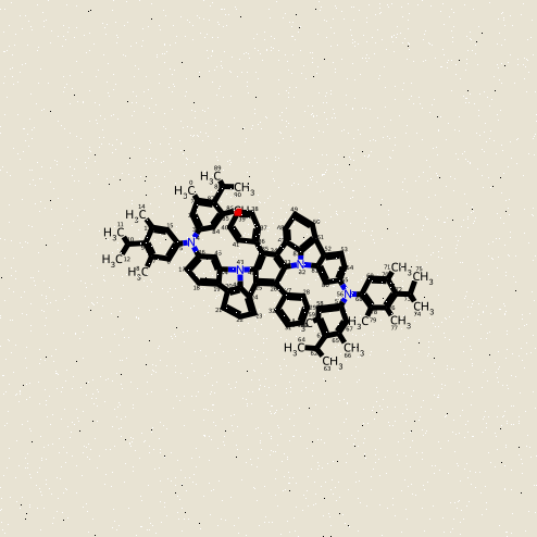 Cc1cc(N(c2cc(C)c(C(C)C)c(C)c2)c2ccc3c4cccc5c6c(-c7ccccc7)c7c(c(-c8ccccc8)c6n(c3c2)c45)c2cccc3c4ccc(N(c5cc(C)c(C(C)C)c(C)c5)c5cc(C)c(C(C)C)c(C)c5C)cc4n7c32)cc(C)c1C(C)C